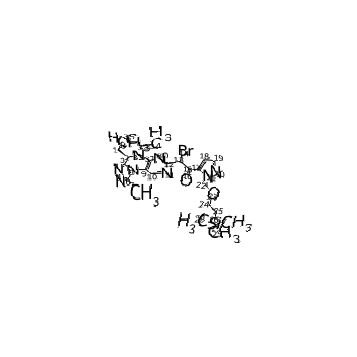 CC[C@@H]1c2nnc(C)n2-c2cnc(C(Br)C(=O)c3ccnn3COCC[Si](C)(C)C)nc2N1C(C)C